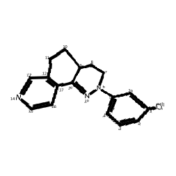 Clc1cccc(N2CCC3CCc4cnccc4C3=N2)c1